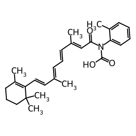 CC(C=CC1=C(C)CCCC1(C)C)=CC=CC(C)=CC(=O)N(C(=O)O)c1ccccc1C